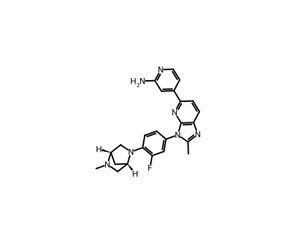 Cc1nc2ccc(-c3ccnc(N)c3)nc2n1-c1ccc(N2C[C@@H]3C[C@H]2CN3C)c(F)c1